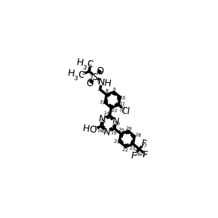 CC(C)S(=O)(=O)NCc1ccc(Cl)c(-c2nc(O)nc(-c3ccc(C(F)(F)F)cc3)n2)c1